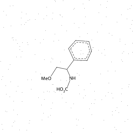 COCC(NC(=O)O)c1ccccc1